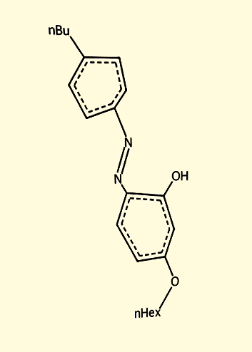 CCCCCCOc1ccc(N=Nc2ccc(CCCC)cc2)c(O)c1